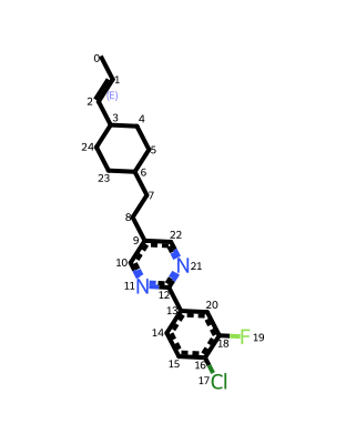 C/C=C/C1CCC(CCc2cnc(-c3ccc(Cl)c(F)c3)nc2)CC1